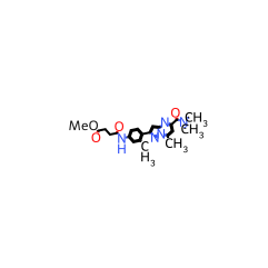 COC(=O)CCC(=O)Nc1ccc(-c2cc3nc(C(=O)N(C)C)cc(C)n3n2)c(C)c1